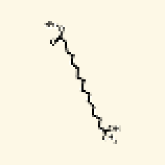 C=C(O)CCCCCCCCCCCCCCC(=O)OC(C)(C)C